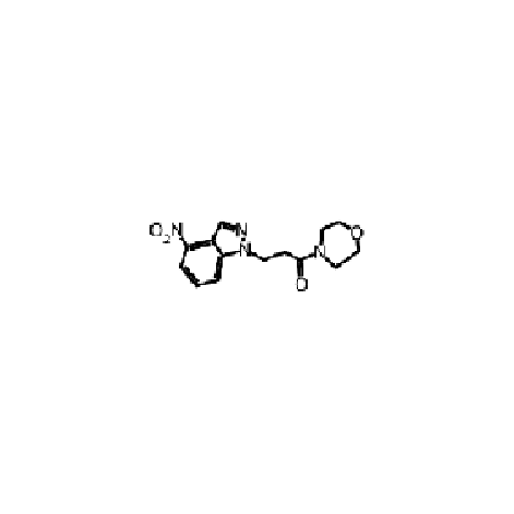 O=C(CCn1ncc2c([N+](=O)[O-])cccc21)N1CCOCC1